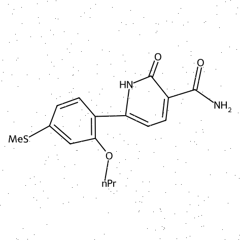 CCCOc1cc(SC)ccc1-c1ccc(C(N)=O)c(=O)[nH]1